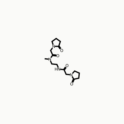 CN(CCNC(=O)CN1CCCC1=O)C(=O)CN1CCCC1=O